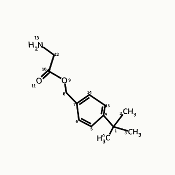 CC(C)(C)c1ccc(COC(=O)CN)cc1